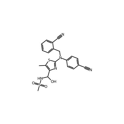 Cc1sc(N(Cc2ccccc2C#N)c2ccc(C#N)cc2)nc1C(O)NS(C)(=O)=O